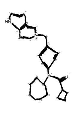 O=C(C1CCC1)N(c1ccc(CN2C=Cc3[nH]cnc3C2)cc1)C1CCCCC1